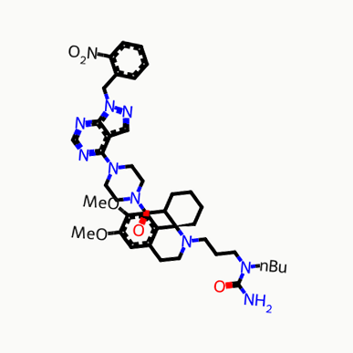 CCCCN(CCCN1CCc2cc(OC)c(OC)cc2[C@@]12CCCCC2C(=O)N1CCN(c2ncnc3c2cnn3Cc2ccccc2[N+](=O)[O-])CC1)C(N)=O